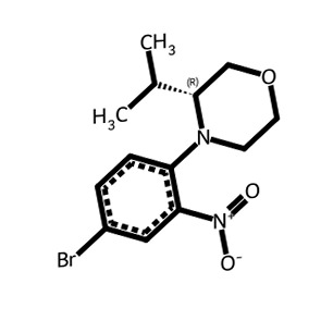 CC(C)[C@@H]1COCCN1c1ccc(Br)cc1[N+](=O)[O-]